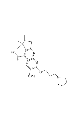 COc1cc2c(NC(C)C)c3c(nc2cc1OCCCN1CCCC1)CC(C)C3(C)C